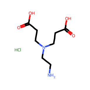 Cl.NCCN(CCC(=O)O)CCC(=O)O